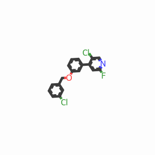 Fc1cc(-c2cccc(OCc3cccc(Cl)c3)c2)c(Cl)cn1